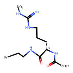 CCCCCCCCC(=O)N[C@@H](CCCNC(=N)N[N+](=O)[O-])C(=O)N[CH]CC(C)C